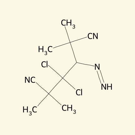 CC(C)(C#N)C(N=N)C(Cl)(Cl)C(C)(C)C#N